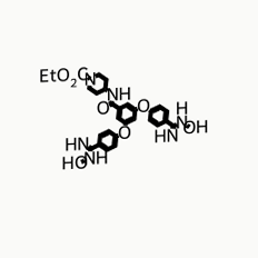 CCOC(=O)N1CCC(NC(=O)c2cc(Oc3ccc(C(=N)NO)cc3)cc(Oc3ccc(C(=N)NO)cc3)c2)CC1